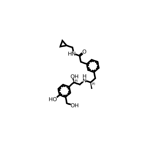 C[C@H](Cc1cccc(CC(=O)NCC2CC2)c1)NC[C@H](O)c1ccc(O)c(CO)c1